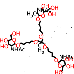 CC(=O)N[C@@H](C)[C@H](OCCCCCOCC(C)(COCCCCCO[C@@H]1OC(CO)[C@H](O)C(O)[C@@H]1NC(C)=O)COCCCCCO[C@@H]1OC(CO)[C@H](O)C(O)[C@@H]1NC(C)=O)OC(CO)[C@H](O)CO